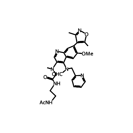 COc1cc2c(N(C=O)Cc3ccccn3)c(N(C)CC(=O)NCCNC(C)=O)cnc2cc1-c1c(C)noc1C